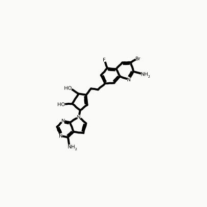 Nc1nc2cc(CCC3=CC(n4ccc5c(N)ncnc54)C(O)C3O)cc(F)c2cc1Br